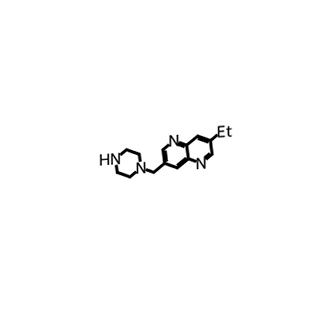 CCc1cnc2cc(CN3CCNCC3)cnc2c1